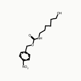 O=C(NCCCCCCO)OCc1ccc([N+](=O)[O-])cc1